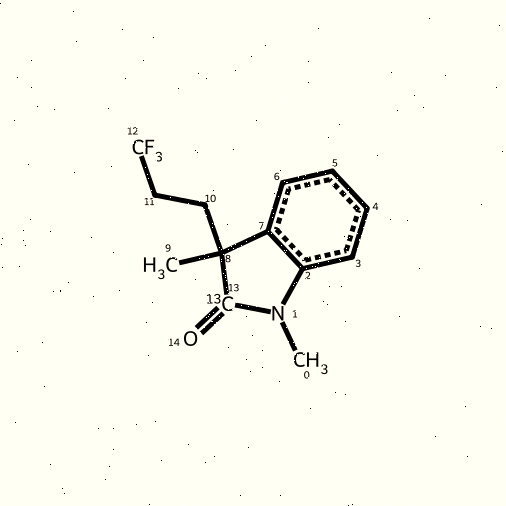 CN1c2ccccc2C(C)(CCC(F)(F)F)[13C]1=O